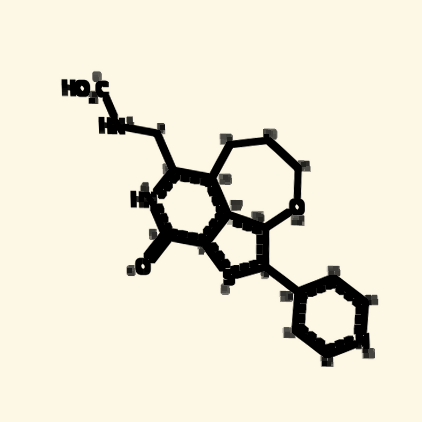 O=C(O)NCc1[nH]c(=O)c2sc(-c3ccncc3)c3c2c1CCCO3